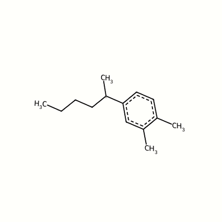 CCCC[C](C)c1ccc(C)c(C)c1